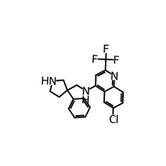 FC(F)(F)c1cc(NCC2(c3ccccc3)CCNC2)c2cc(Cl)ccc2n1